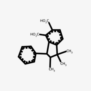 CC1C(c2ccccc2)c2c(ccc(C(=O)O)c2C(=O)O)C1(C)C